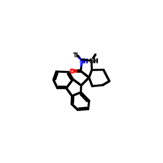 C[SiH](C)C1CCCCC1(C(=O)[NH][Ti])C1c2ccccc2-c2ccccc21